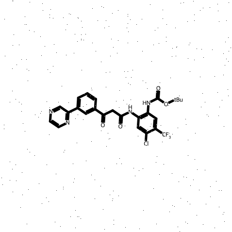 CC(C)(C)OC(=O)Nc1cc(C(F)(F)F)c(Cl)cc1NC(=O)CC(=O)c1cccc(-c2cnccn2)c1